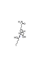 CCCCC[C@H](O)/C=C/[C@@H]1[C@H]2CC(CCCC(N)=O)=C[C@H]2C[C@H]1O